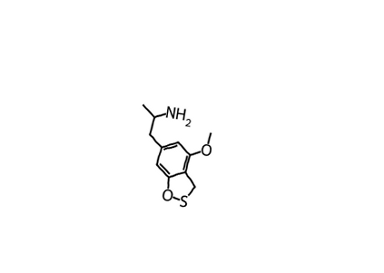 COc1cc(CC(C)N)cc2c1CSO2